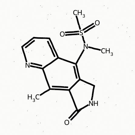 Cc1c2c(c(N(C)S(C)(=O)=O)c3cccnc13)CNC2=O